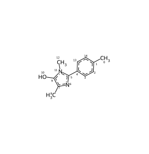 Cc1ccc(-c2nc(C)c(O)n2C)cc1